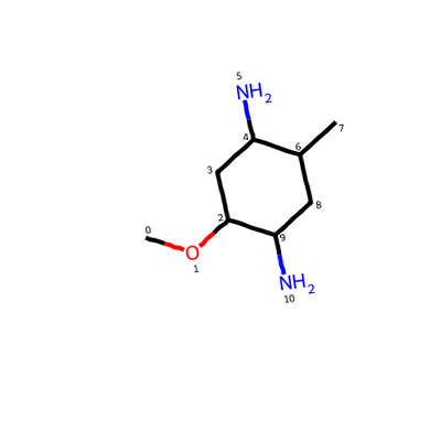 COC1CC(N)C(C)CC1N